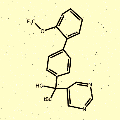 CC(C)(C)C(O)(c1ccc(-c2ccccc2OC(F)(F)F)cc1)c1cncnc1